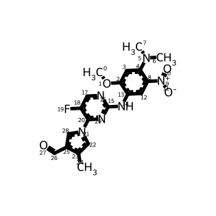 COc1cc(N(C)C)c([N+](=O)[O-])cc1Nc1ncc(F)c(-n2cc(C)c(C=O)c2)n1